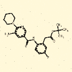 CC(C)(C)OC(=O)Cc1cc(F)ccc1NC(=O)c1cnc(N2CCCCC2)c(N)c1